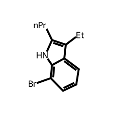 CCCc1[nH]c2c(Br)cccc2c1CC